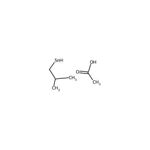 CC(=O)O.CC(C)[CH2][SnH]